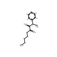 O=C(CCCCCl)C(=O)C(Br)c1ccccc1